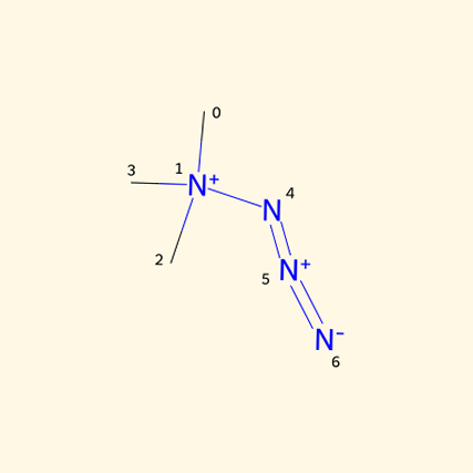 C[N+](C)(C)N=[N+]=[N-]